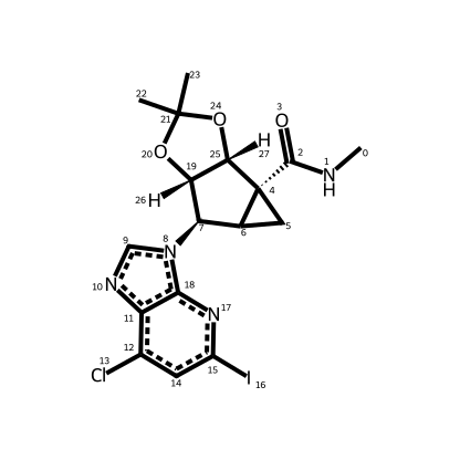 CNC(=O)[C@]12CC1[C@@H](n1cnc3c(Cl)cc(I)nc31)[C@@H]1OC(C)(C)O[C@@H]12